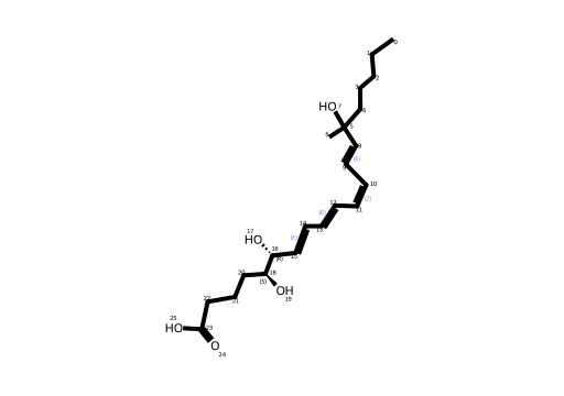 CCCCCC(C)(O)/C=C/C=C\C=C\C=C\[C@@H](O)[C@@H](O)CCCC(=O)O